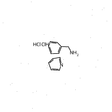 Cl.Cl.NCc1ccccc1.c1ccncc1